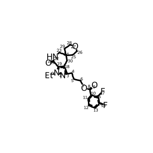 CCn1nc(CCCOC(=O)c2cccc(F)c2F)c2c1C(=O)NCC1(CCOCC1)C2